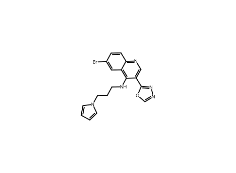 Brc1ccc2ncc(-c3nnco3)c(NCCCn3cccc3)c2c1